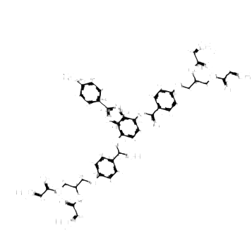 C=CC(=O)OCC(COc1ccc(C(=O)Oc2ccc(OC(O)c3ccc(OCC(COC(=O)C=C)OC(=O)C=C)cc3)c3sc(-c4ccc(C#N)cc4)nc23)cc1)OC(=O)C=C